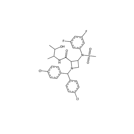 CC(O)C(C)NC(=O)C1C(N(c2cc(F)cc(F)c2)S(C)(=O)=O)CN1C(c1ccc(Cl)cc1)c1ccc(Cl)cc1